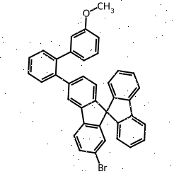 COc1cccc(-c2ccccc2-c2ccc3c(c2)-c2ccc(Br)cc2C32c3ccccc3-c3ccccc32)c1